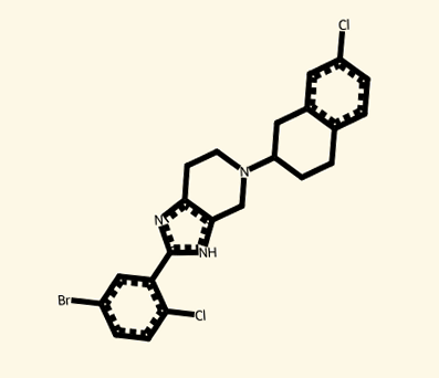 Clc1ccc2c(c1)CC(N1CCc3nc(-c4cc(Br)ccc4Cl)[nH]c3C1)CC2